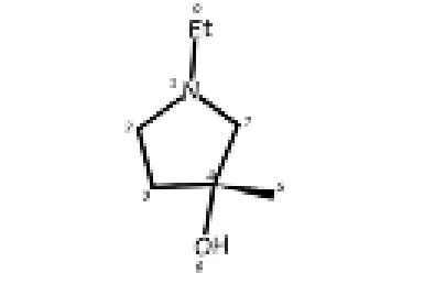 CCN1CC[C@@](C)(O)C1